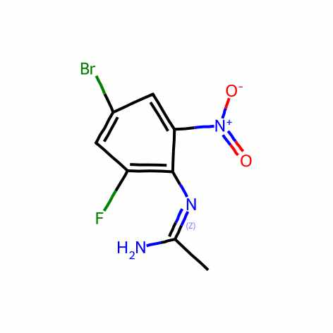 C/C(N)=N/c1c(F)cc(Br)cc1[N+](=O)[O-]